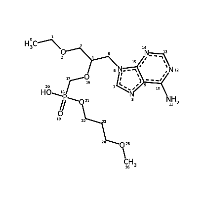 CCOCC(Cn1cnc2c(N)ncnc21)OCP(=O)(O)OCCCOC